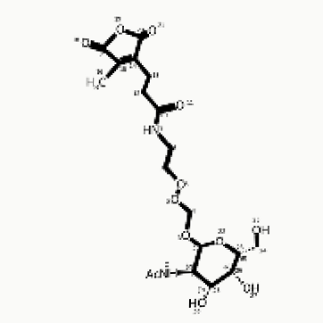 CC(=O)N[C@H]1C(OCOOCCNC(=O)CCC2=C(C)C(=O)OC2=O)O[C@H](CO)[C@H](O)[C@@H]1O